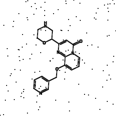 O=c1cc(C2CNCCO2)nc2c(OCc3cccnc3)cccn12